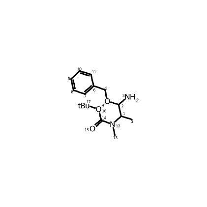 CC(C(N)OCc1ccccc1)N(C)C(=O)OC(C)(C)C